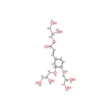 O=C(C=Cc1ccc(OCC(O)CO)c(OCC(O)CO)c1)OCC(O)CO